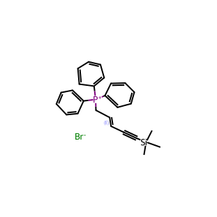 C[Si](C)(C)C#C/C=C/C[P+](c1ccccc1)(c1ccccc1)c1ccccc1.[Br-]